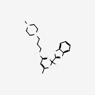 CC1=CC(NCCCN2CCN(C)CC2)=NC(N)(c2nc3ccccc3[nH]2)N1